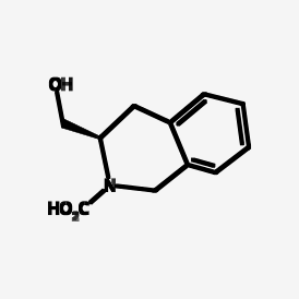 O=C(O)N1Cc2ccccc2C[C@@H]1CO